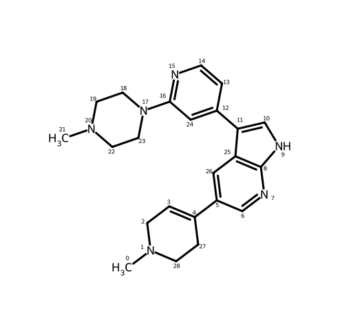 CN1CC=C(c2cnc3[nH]cc(-c4ccnc(N5CCN(C)CC5)c4)c3c2)CC1